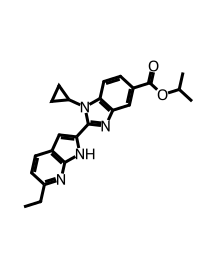 CCc1ccc2cc(-c3nc4cc(C(=O)OC(C)C)ccc4n3C3CC3)[nH]c2n1